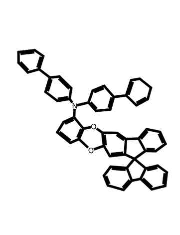 C1=CC(c2ccc(N(c3ccc(-c4ccccc4)cc3)c3cccc4c3Oc3cc5c(cc3O4)C3(c4ccccc4-c4ccccc43)c3ccccc3-5)cc2)=CCC1